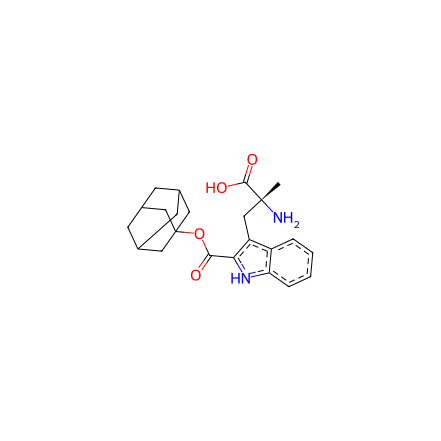 C[C@@](N)(Cc1c(C(=O)OC23CC4CC(CC(C4)C2)C3)[nH]c2ccccc12)C(=O)O